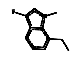 CCc1cccc2c(F)cn(C)c12